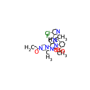 C=CC(=O)N1CCN(c2nc(=O)n(-c3c(C(C)C)cccc3S(C)(=O)=O)c3nc(-c4cnccc4Cl)c(F)cc23)[C@@H](C)C1